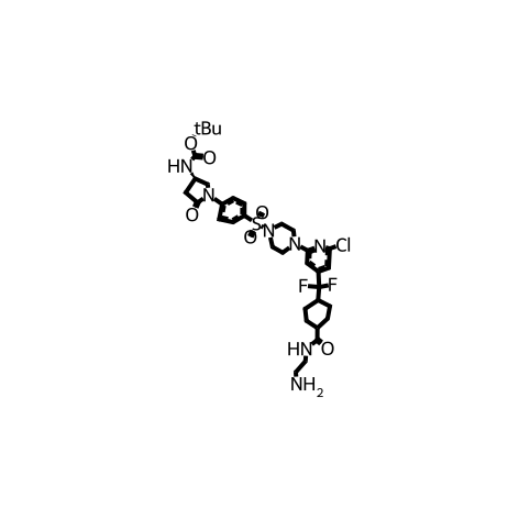 CC(C)(C)OC(=O)N[C@@H]1CC(=O)N(c2ccc(S(=O)(=O)N3CCN(c4cc(C(F)(F)C5CCC(C(=O)NCCN)CC5)cc(Cl)n4)CC3)cc2)C1